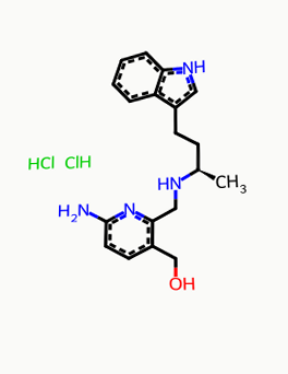 C[C@H](CCc1c[nH]c2ccccc12)NCc1nc(N)ccc1CO.Cl.Cl